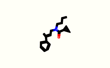 CCCCN(C/C=C(\C)c1ccccc1)C(=O)C1CC1